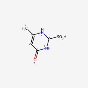 O=C1C=C(C(F)(F)F)NC(S(=O)(=O)O)N1